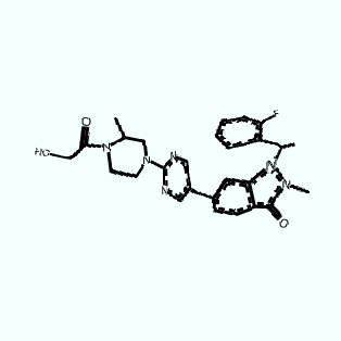 CC1CN(c2ncc(-c3ccc4c(=O)n(C)n(C(C)c5ccccc5F)c4c3)cn2)CCN1C(=O)CO